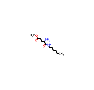 CCCCCCNC(=O)C(N)CCC(=O)OC